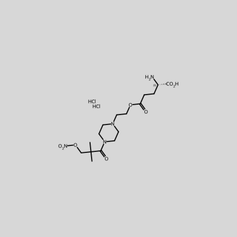 CC(C)(CO[N+](=O)[O-])C(=O)N1CCN(CCOC(=O)CC[C@H](N)C(=O)O)CC1.Cl.Cl